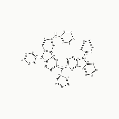 c1ccc(Nc2ccc3c(c2)c2cc(N(c4ccccc4)c4ccc5c(c4)c4ccccc4n5-c4ccccc4)ccc2n3-c2ccccc2)cc1